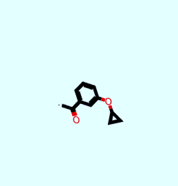 [CH2]C(=O)c1cccc(OC2CC2)c1